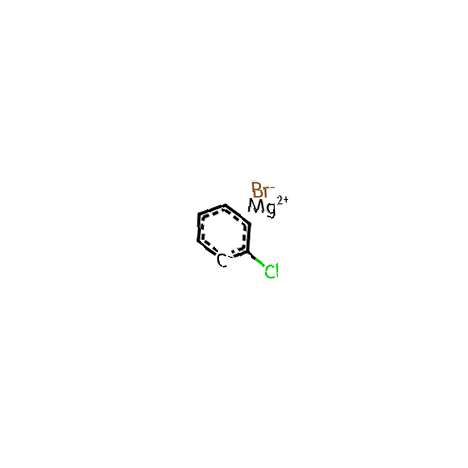 Clc1[c-]cccc1.[Br-].[Mg+2]